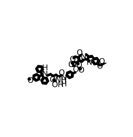 CC[C@@]1(OC(=O)OCc2ccc(NC(=O)C(CCCCNC(c3ccccc3)(c3ccccc3)c3ccc(OC)cc3)NC(=O)O)cc2)C(=O)OCc2c1cc1n(c2=O)Cc2cc3cc4c(cc3nc2-1)OCO4